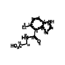 CCc1ccc2[nH]cnc2c1C(=O)NCC(=O)O